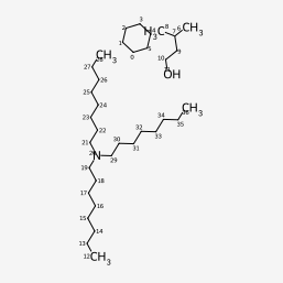 C1CCCCC1.CC(C)CCO.CCCCCCCCN(CCCCCCCC)CCCCCCCC